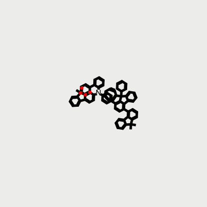 CC1(C)c2ccccc2-c2ccc(N(c3ccc(-c4ccc(-c5cccc6c5-c5ccccc5C6(C)C)c5c4C(C4=CC=CCC#C4)(C4C=CC=CC4)c4ccccc4-5)cc3)c3ccccc3-c3ccccc3)cc21